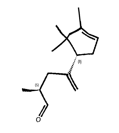 C=C(C[C@H](C)C=O)[C@H]1CC=C(C)C1(C)C